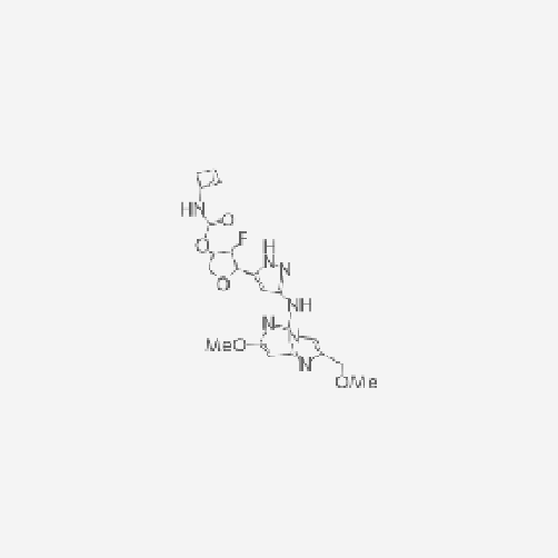 COCc1cn2c(Nc3cc([C@H]4OC[C@@H](OC(=O)NC56CC(C5)C6)[C@H]4F)[nH]n3)nc(OC)cc2n1